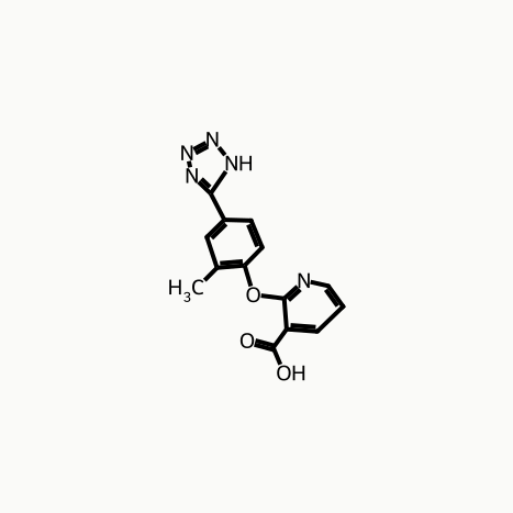 Cc1cc(-c2nnn[nH]2)ccc1Oc1ncccc1C(=O)O